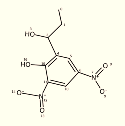 CCC(O)c1cc([N+](=O)[O-])cc([N+](=O)[O-])c1O